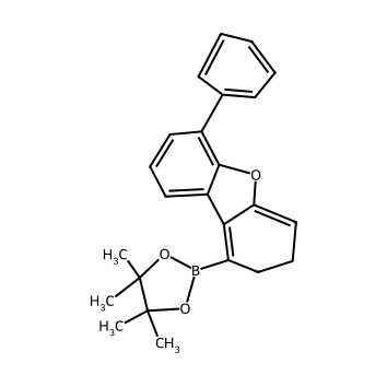 CC1(C)OB(C2=c3c(oc4c(-c5ccccc5)cccc34)=CCC2)OC1(C)C